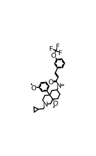 COc1cccc(C23CCN(CC4CC4)CC2(OC)CCC(N(C)C(=O)/C=C/c2cccc(OC(F)(F)F)c2)C3)c1